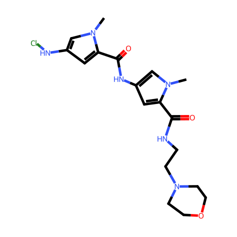 Cn1cc(NC(=O)c2cc(NCl)cn2C)cc1C(=O)NCCN1CCOCC1